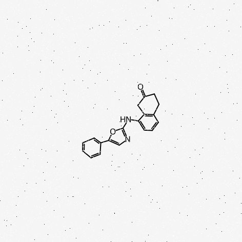 O=C1CCc2cccc(Nc3ncc(-c4ccccc4)o3)c2C1